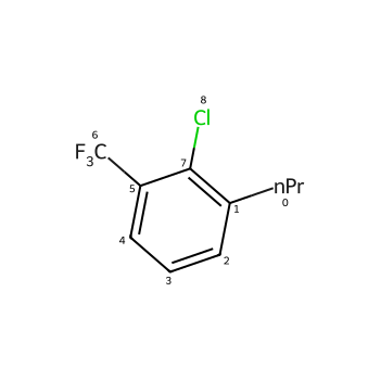 CCCc1cccc(C(F)(F)F)c1Cl